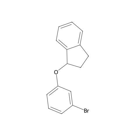 Brc1cccc(OC2CCc3ccccc32)c1